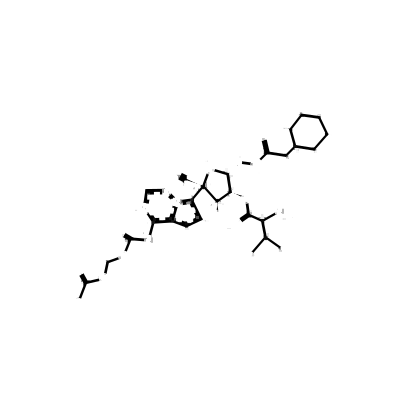 CC(=O)OCOC(=O)Nc1ncnn2c([C@]3(C#N)O[C@H](COC(=O)CC4CCCCC4)[C@@H](OC(=O)C(N)C(C)C)[C@H]3O)ccc12